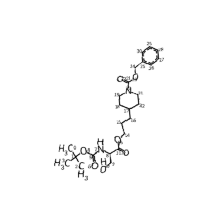 CC(C)(C)OC(=O)N[C@H](CO)C(=O)OCCCC1CCN(C(=O)OCc2ccccc2)CC1